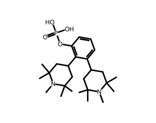 CN1C(C)(C)CC(c2cccc(OP(=O)(O)O)c2C2CC(C)(C)N(C)C(C)(C)C2)CC1(C)C